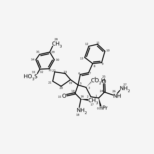 CCC[C@@H](C[C@@H](C(=O)O)C(/C=C/c1ccccc1)(C(=O)[C@@H](C)N)C1CCCC1)C(=O)NN.Cc1ccc(S(=O)(=O)O)cc1